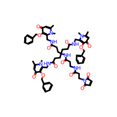 Cc1cc(=O)c(OCc2ccccc2)c(CNC(=O)CCC(CCC(=O)NCc2c(OCc3ccccc3)c(=O)cc(C)n2C)(CCC(=O)NCc2c(OCc3ccccc3)c(=O)cc(C)n2C)NC(=O)CCNC(=O)CCN2C(=O)C=CC2=O)n1C